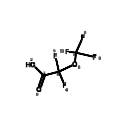 O=C(O)C(F)(F)OC(F)(F)F